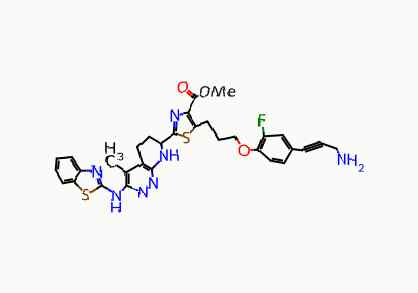 COC(=O)c1nc(C2CCc3c(nnc(Nc4nc5ccccc5s4)c3C)N2)sc1CCCOc1ccc(C#CCN)cc1F